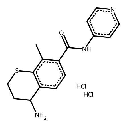 Cc1c(C(=O)Nc2ccncc2)ccc2c1SCCC2N.Cl.Cl